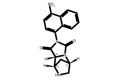 O=C1[C@H]2[C@@H]3C[C@@H](CN3)N2C(=O)N1c1ccc([N+](=O)[O-])c2ccccc12